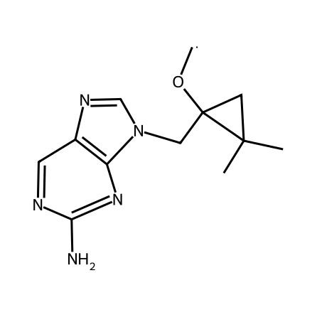 [CH2]OC1(Cn2cnc3cnc(N)nc32)CC1(C)C